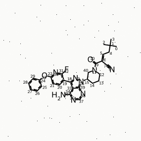 CC(C)(C)CC=C(C#N)C(=O)N1CCC[C@@H](n2nc(-c3ccc(Oc4ccccc4)nc3F)c3c(N)ncnc32)C1